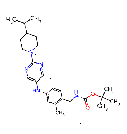 Cc1cc(Nc2cnc(N3CCC(C(C)C)CC3)nc2)ccc1CNC(=O)OC(C)(C)C